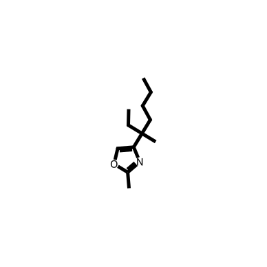 CCCCC(C)(CC)c1coc(C)n1